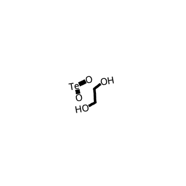 O=[Te]=O.OCCO